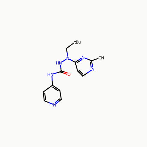 CC(C)(C)CN(NC(=O)Nc1ccncc1)c1ccnc(C#N)n1